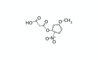 COc1ccc([N+](=O)[O-])c(OC(=O)CC(=O)O)c1